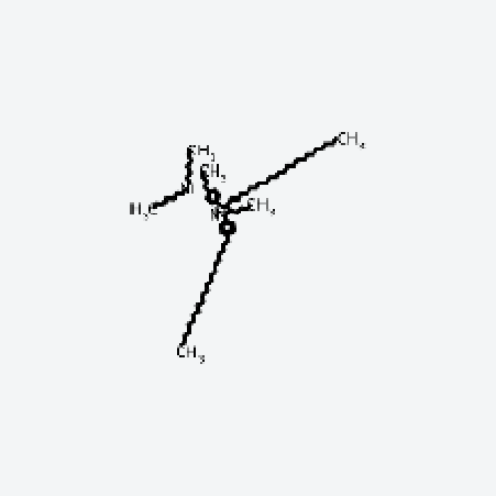 CCCCCCCCCCCCCCCCCCCCCCC=CC1=C(c2ccc(CCCC)cc2)[N+](=[N-])C(c2ccc(CCCCCCCCCCCCCCCCCCCCCCC)cc2)=C1CCCC.CCCCCC[CH2][Ni][CH2]CCCCCC